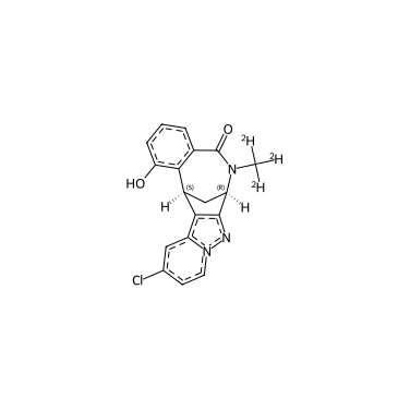 [2H]C([2H])([2H])N1C(=O)c2cccc(O)c2[C@H]2C[C@@H]1c1nn3ccc(Cl)cc3c12